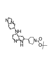 CC(C)(C)OC(=O)N1CC=C(c2cc3c(Nc4ccc5nccn5c4)ccnc3[nH]2)CC1